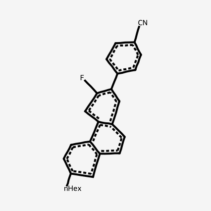 CCCCCCc1ccc2c(ccc3cc(-c4ccc(C#N)cc4)c(F)cc32)c1